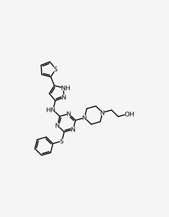 OCCN1CCN(c2nc(Nc3cc(-c4cccs4)[nH]n3)nc(Sc3ccccc3)n2)CC1